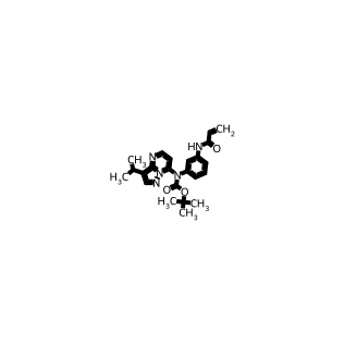 C=CC(=O)Nc1cccc(N(C(=O)OC(C)(C)C)c2ccnc3c(C(C)C)cnn23)c1